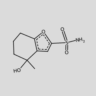 CC1(O)CCCc2oc(S(N)(=O)=O)cc21